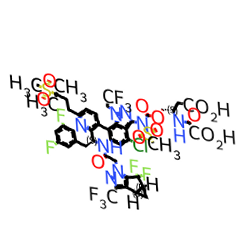 CC(C)(CCc1ccc(-c2ccc(Cl)c3c(N(C(=O)OC[C@H](CC(=O)O)NC(=O)C(=O)O)S(C)(=O)=O)nn(CC(F)(F)F)c23)c([C@H](Cc2cc(F)cc(F)c2)NC(=O)Cn2nc(C(F)(F)F)c3c2C(F)(F)[C@@H]2C[C@H]32)n1)S(C)(=O)=O